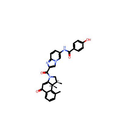 Cc1cccc2c1[C@]1(C)C(=CC2=O)N(C(=O)c2cn3cc(NC(=O)c4ccc(O)cc4)ccc3n2)C[C@H]1C